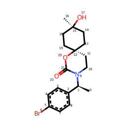 C[C@@H](c1ccc(Br)cc1)N1CC[C@]2(CC[C@](C)(O)CC2)OC1=O